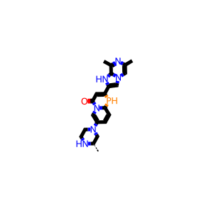 CC1=CN2C=C(C3=CC(=O)N4C=C(N5CCN[C@@H](C)C5)C=CC4P3)NC2C(C)=N1